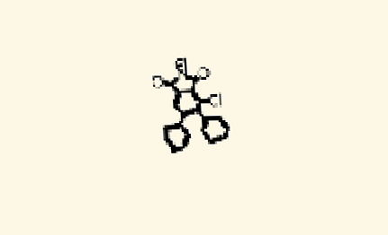 O=C1c2cc(-c3ccccc3)c(-c3ccccc3)c(Cl)c2C(=O)N1Cl